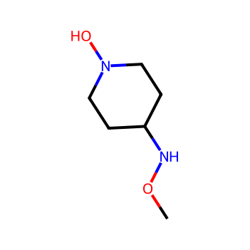 CONC1CCN(O)CC1